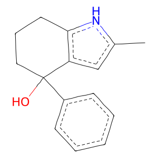 Cc1cc2c([nH]1)CCCC2(O)c1ccccc1